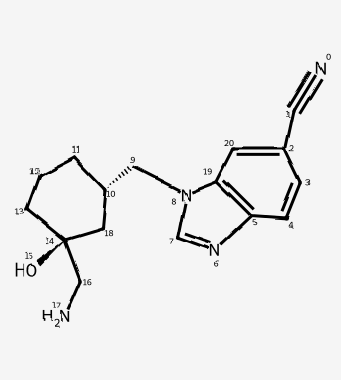 N#Cc1ccc2ncn(C[C@H]3CCC[C@@](O)(CN)C3)c2c1